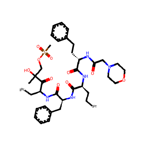 CC(C)CC[C@H](NC(=O)[C@H](CCc1ccccc1)NC(=O)CN1CCOCC1)C(=O)N[C@@H](Cc1ccccc1)C(=O)NC(CC(C)C)C(=O)C(C)(O)COS(C)(=O)=O